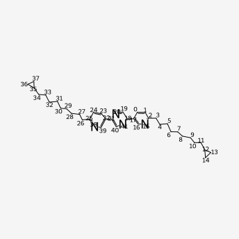 c1cc(CCCCCCCCCC2CC2)ncc1-c1cnc(-c2ccc(CCCCCCCCCC3CC3)nc2)cn1